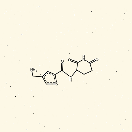 NCc1csc(C(=O)NC2CCC(=O)NC2=O)c1